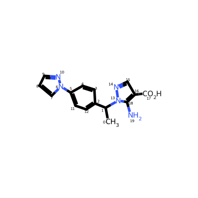 CC(c1ccc(-n2cccn2)cc1)n1ncc(C(=O)O)c1N